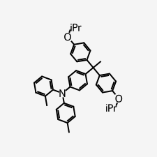 Cc1ccc(N(c2ccc(C(C)(c3ccc(OC(C)C)cc3)c3ccc(OC(C)C)cc3)cc2)c2ccccc2C)cc1